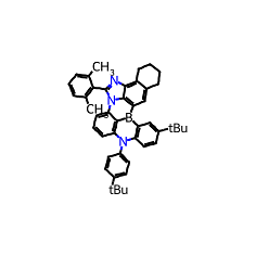 Cc1cccc(C)c1-c1nc2c3c(cc4c2n1-c1cccc2c1B4c1cc(C(C)(C)C)ccc1N2c1ccc(C(C)(C)C)cc1)CCCC3